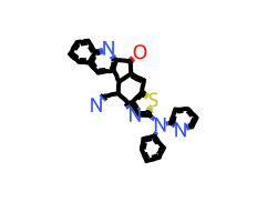 N#CC(C#N)C1/C(=C\c2ccc(N(c3ccccc3)c3ccccn3)s2)C(=O)c2nc3ccccc3cc21